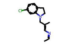 C/C=N\C=C(/C)CN1CCc2ccc(Cl)cc21